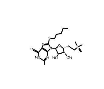 C=P(C)(C)CC[C@H]1OC(n2c(SCCCCC)nc3c(=O)[nH]c(C)nc32)[C@H](O)[C@@H]1O